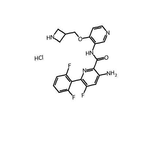 Cl.Nc1cc(F)c(-c2c(F)cccc2F)nc1C(=O)Nc1cnccc1OCC1CNC1